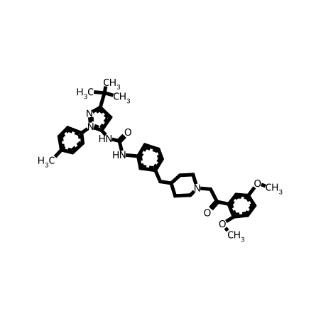 COc1ccc(OC)c(C(=O)CN2CCC(Cc3cccc(NC(=O)Nc4cc(C(C)(C)C)nn4-c4ccc(C)cc4)c3)CC2)c1